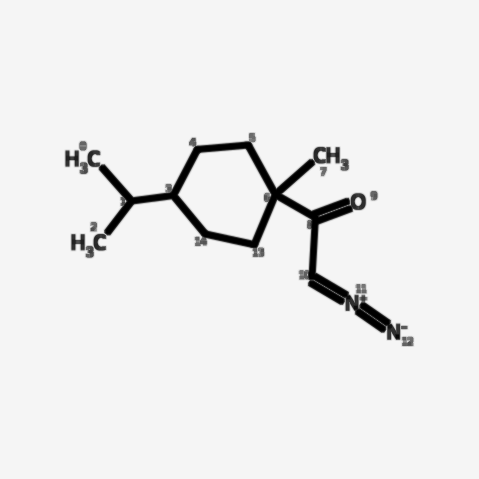 CC(C)C1CCC(C)(C(=O)C=[N+]=[N-])CC1